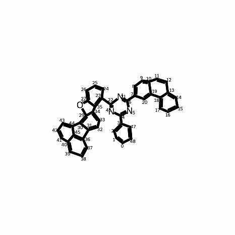 c1ccc(-c2nc(-c3ccc4ccc5ccccc5c4c3)nc(-c3cccc4oc5c6c(ccc5c34)-c3cccc4cccc-6c34)n2)cc1